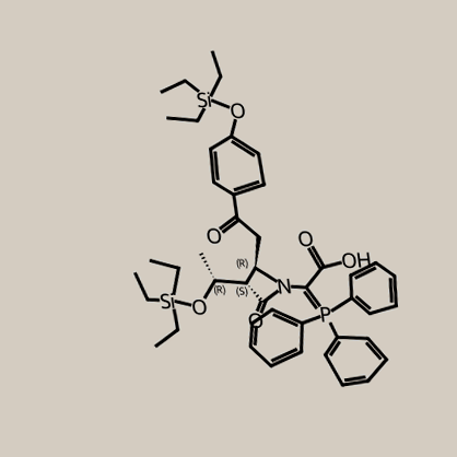 CC[Si](CC)(CC)Oc1ccc(C(=O)C[C@@H]2[C@@H]([C@@H](C)O[Si](CC)(CC)CC)C(=O)N2C(C(=O)O)=P(c2ccccc2)(c2ccccc2)c2ccccc2)cc1